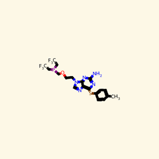 Cc1ccc(Sc2nc(N)nc3c2ncn3CCOCP(CC(F)(F)F)CC(F)(F)F)cc1